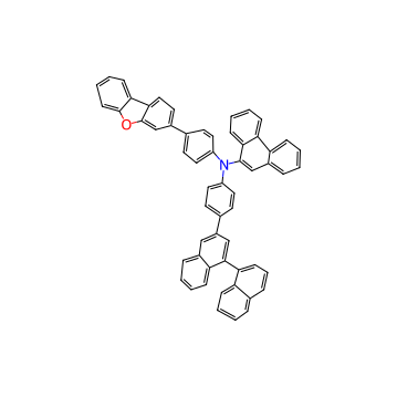 c1ccc2c(-c3cc(-c4ccc(N(c5ccc(-c6ccc7c(c6)oc6ccccc67)cc5)c5cc6ccccc6c6ccccc56)cc4)cc4ccccc34)cccc2c1